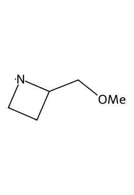 COCC1CC[N]1